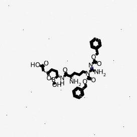 N/C(=N\C(=O)OCc1ccccc1)N(CCC[C@@H](N)C(=O)N[C@H]1CC[C@@H](CC(=O)O)OB1O)C(=O)OCc1ccccc1